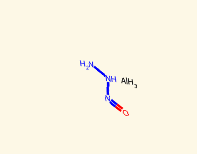 NNN=O.[AlH3]